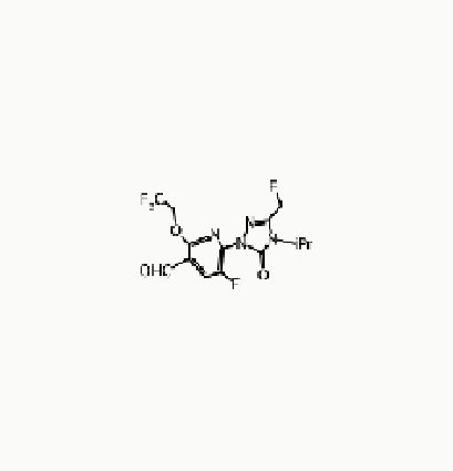 CC(C)n1c(CF)nn(-c2nc(OCC(F)(F)F)c(C=O)cc2F)c1=O